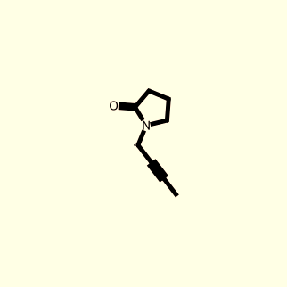 CC#C[CH]N1CCCC1=O